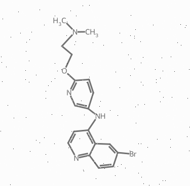 CN(C)CCOc1ccc(Nc2[c]cnc3ccc(Br)cc23)cn1